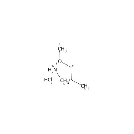 CCCOC.CN.Cl